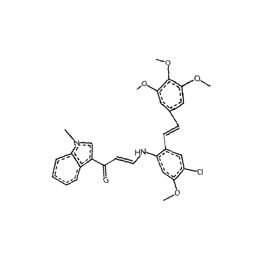 COc1cc(NC=CC(=O)c2cn(C)c3ccccc23)c(C=Cc2cc(OC)c(OC)c(OC)c2)cc1Cl